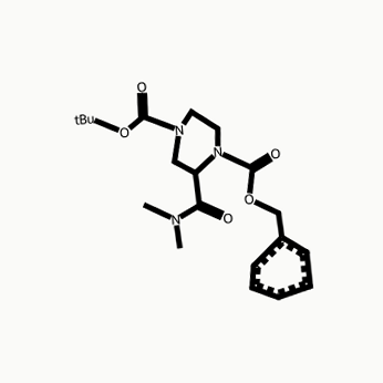 CN(C)C(=O)C1CN(C(=O)OC(C)(C)C)CCN1C(=O)OCc1ccccc1